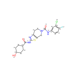 O=C(Nc1nc2c(s1)CN(C(=O)Nc1ccc(F)c(Cl)c1)CC2)C1CCC(O)CC1